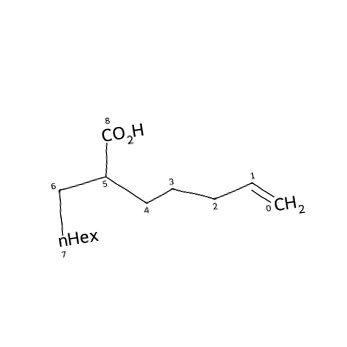 C=CCCCC(CCCCCCC)C(=O)O